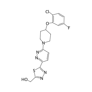 OCc1nnc(-c2ccc(N3CCC(Oc4cc(F)ccc4Cl)CC3)nn2)s1